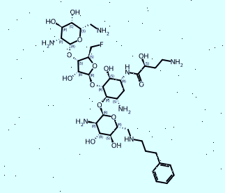 NCC[C@H](O)C(=O)N[C@@H]1C[C@H](N)[C@@H](O[C@H]2O[C@H](CNCCCc3ccccc3)[C@@H](O)[C@H](O)[C@H]2N)[C@H](O[C@@H]2O[C@H](CF)[C@@H](O[C@H]3O[C@@H](CN)[C@@H](O)[C@H](O)[C@H]3N)[C@H]2O)[C@H]1O